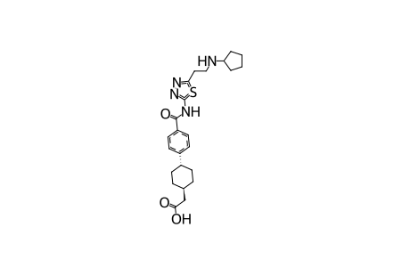 O=C(O)C[C@H]1CC[C@H](c2ccc(C(=O)Nc3nnc(CCNC4CCCC4)s3)cc2)CC1